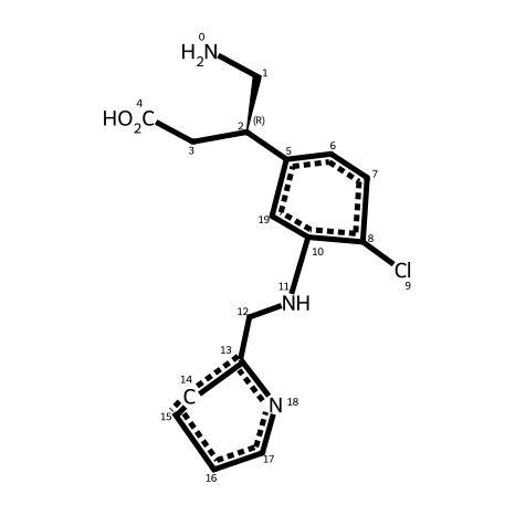 NC[C@H](CC(=O)O)c1ccc(Cl)c(NCc2ccccn2)c1